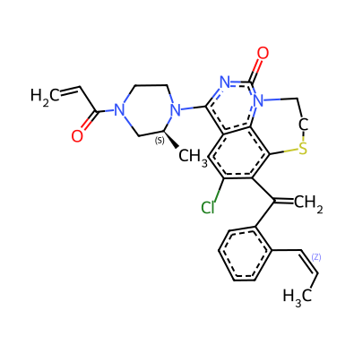 C=CC(=O)N1CCN(c2nc(=O)n3c4c(c(C(=C)c5ccccc5/C=C\C)c(Cl)cc24)SCC3)[C@@H](C)C1